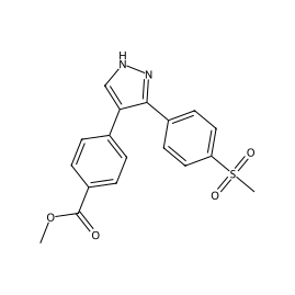 COC(=O)c1ccc(-c2c[nH]nc2-c2ccc(S(C)(=O)=O)cc2)cc1